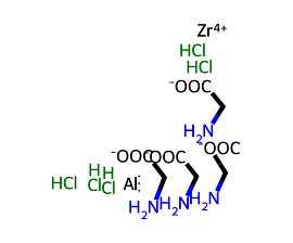 Cl.Cl.Cl.Cl.Cl.NCC(=O)[O-].NCC(=O)[O-].NCC(=O)[O-].NCC(=O)[O-].[Al].[Zr+4]